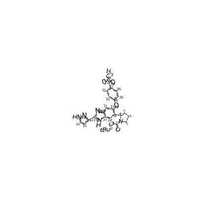 CC(C)(C)OC(=O)N1CCCC1c1cc2[nH]c(-c3cc[nH]n3)nc2cc1Oc1ccc(S(C)(=O)=O)cc1